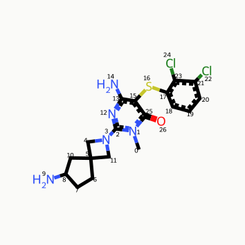 Cn1c(N2CC3(CCC(N)C3)C2)nc(N)c(Sc2cccc(Cl)c2Cl)c1=O